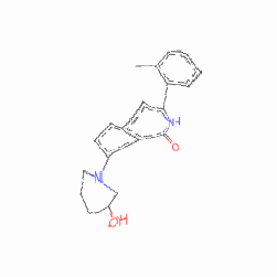 Cc1ccccc1-c1cc2ccc(N3CCCC(O)C3)cc2c(=O)[nH]1